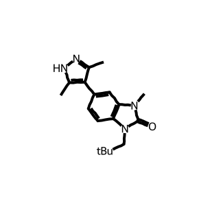 Cc1n[nH]c(C)c1-c1ccc2c(c1)n(C)c(=O)n2CC(C)(C)C